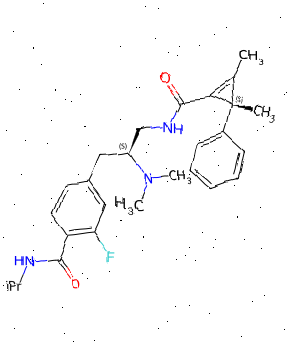 CC1=C(C(=O)NC[C@H](Cc2ccc(C(=O)NC(C)C)c(F)c2)N(C)C)[C@@]1(C)c1ccccc1